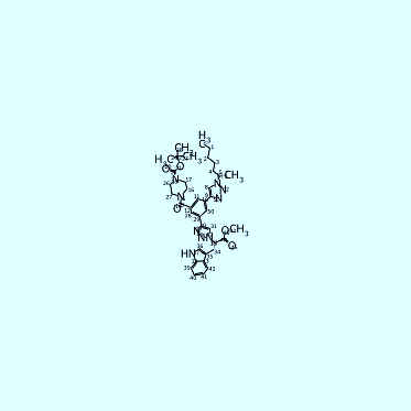 CCCCC[C@H](C)n1cc(-c2cc(C(=O)N3CCN(C(=O)OC(C)(C)C)CC3)cc(-c3cn([C@@H](Cc4c[nH]c5ccccc45)C(=O)OC)nn3)c2)nn1